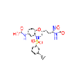 O=C(O)Nc1ccc2c(c1)N(S(=O)(=O)c1cccc(C3CC3)c1)C[C@H](CCc1noc(=O)[nH]1)O2